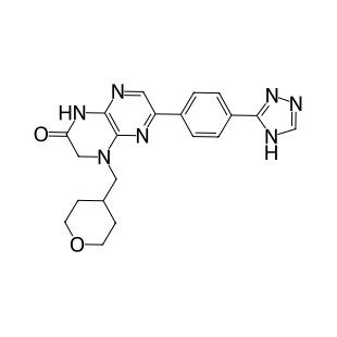 O=C1CN(CC2CCOCC2)c2nc(-c3ccc(-c4nnc[nH]4)cc3)cnc2N1